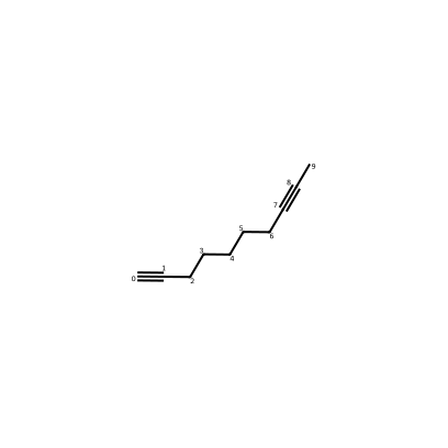 C#CCCCCCC#CC